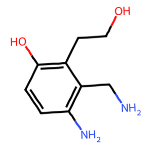 NCc1c(N)ccc(O)c1CCO